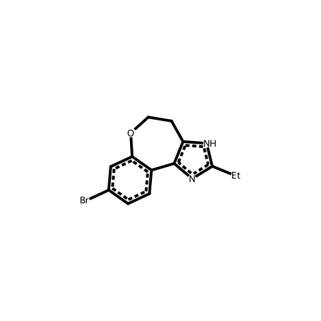 CCc1nc2c([nH]1)CCOc1cc(Br)ccc1-2